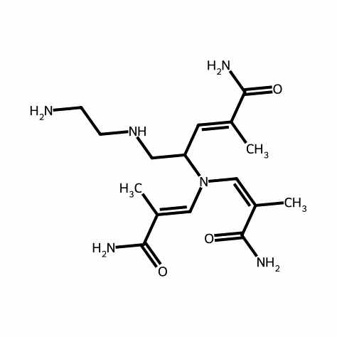 CC(=CC(CNCCN)N(C=C(C)C(N)=O)C=C(C)C(N)=O)C(N)=O